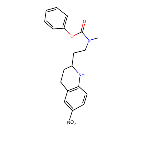 CN(CCC1CCc2cc([N+](=O)[O-])ccc2N1)C(=O)Oc1ccccc1